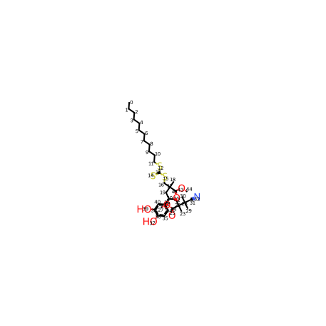 CCCCCCCCCCCCSC(=S)SCC(C)(CC(CC(C)(C(=O)OC)C(C)(C)C#N)c1ccc(O)c(O)c1)C(=O)OC